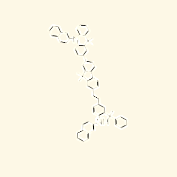 CC(C)(c1ccccc1)c1cc(/C=C/c2ccc3c(c2)C(C)(C)c2cc(-c4ccc5c(c4)C(C)(C)c4ccccc4N5c4ccc5ccccc5c4)ccc2-3)ccc1Nc1ccc2ccccc2c1